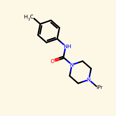 Cc1ccc(NC(=O)N2CCN(C(C)C)CC2)cc1